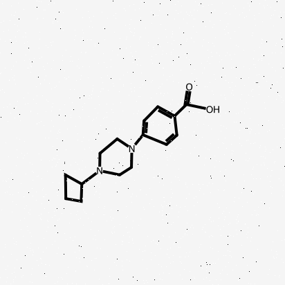 O=C(O)c1ccc(N2CCN(C3CCC3)CC2)cc1